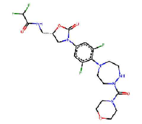 O=C(NC[C@H]1CN(c2cc(F)c(N3CCNN(C(=O)N4CCOCC4)CC3)c(F)c2)C(=O)O1)C(F)F